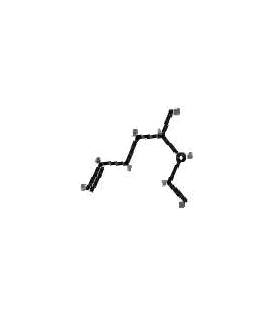 [CH2]C(CCC=C)OCC